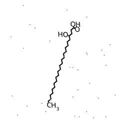 CCCCCCCCCCCCCCCCCCCCCCCC(O)CCC(=O)O